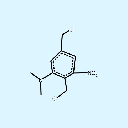 CN(C)c1cc(CCl)cc([N+](=O)[O-])c1CCl